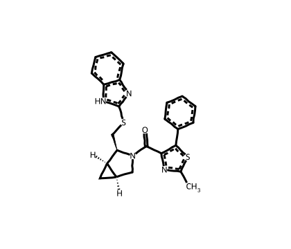 Cc1nc(C(=O)N2C[C@H]3C[C@H]3[C@H]2CSc2nc3ccccc3[nH]2)c(-c2ccccc2)s1